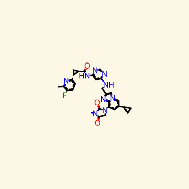 Cc1nc([C@@H]2C[C@H]2C(=O)Nc2cc(NCc3cn4cc(C5CC5)cc(N5CC(=O)N(C)C5=O)c4n3)ncn2)ccc1F